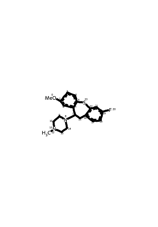 COc1ccc2c(c1)C(N1CCN(C)CC1)Cc1ccc(F)cc1S2